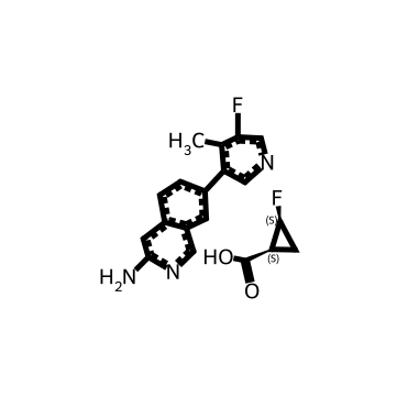 Cc1c(F)cncc1-c1ccc2cc(N)ncc2c1.O=C(O)[C@@H]1C[C@@H]1F